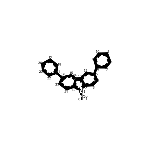 CC(C)n1c2ccc(-c3ccccc3)cc2c2cc(-c3ccccc3)ccc21